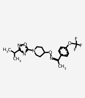 CC(=NOC1CCN(c2nc(C(C)C)no2)CC1)c1ccc(OC(F)(F)F)cc1